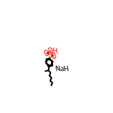 CCCCCCC(C)c1ccc(S(=O)(=O)O)cc1.[NaH]